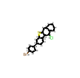 Clc1c2ccccc2cc2sc3cc(-c4ccc(Br)cc4)ccc3c12